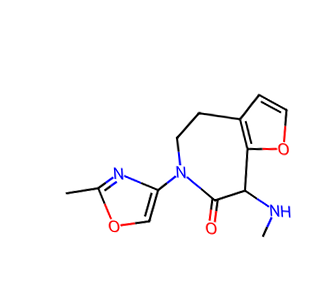 CNC1C(=O)N(c2coc(C)n2)CCc2ccoc21